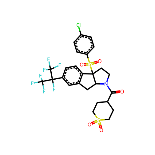 O=C(C1CCS(=O)(=O)CC1)N1CCC2(S(=O)(=O)c3ccc(Cl)cc3)c3ccc(C(F)(C(F)(F)F)C(F)(F)F)cc3CC12